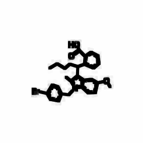 CCCCC(c1ccccc1C(=O)O)c1c(C)n(Cc2ccc(Br)cc2)c2ccc(OC)cc12